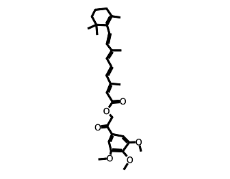 COc1cc(C(=O)COC(=O)/C=C(C)/C=C/C=C(C)/C=C/C2=C(C)CCCC2(C)C)cc(OC)c1OC